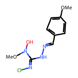 COc1ccc(C=NNC(=NCl)N(O)OC)cc1